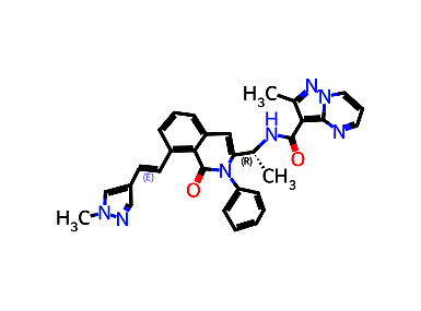 Cc1nn2cccnc2c1C(=O)N[C@H](C)c1cc2cccc(/C=C/c3cnn(C)c3)c2c(=O)n1-c1ccccc1